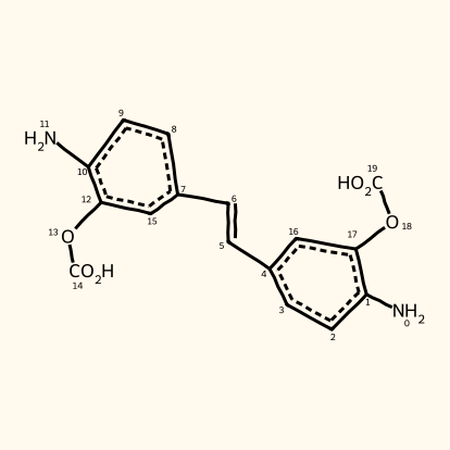 Nc1ccc(C=Cc2ccc(N)c(OC(=O)O)c2)cc1OC(=O)O